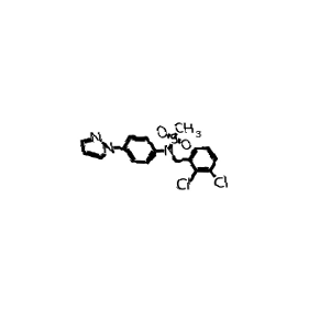 CS(=O)(=O)N(Cc1cccc(Cl)c1Cl)c1ccc(-n2cccn2)cc1